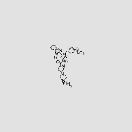 COc1ccc(Cn2nc(NC(=O)c3ccc(N4CCN(C)CC4)cn3)cc2-c2nc3ccccc3[nH]2)cc1